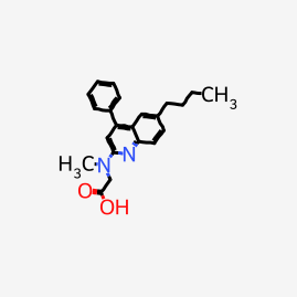 CCCCc1ccc2nc(N(C)CC(=O)O)cc(-c3ccccc3)c2c1